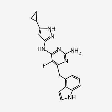 Nc1nc(Cc2cccc3[nH]ccc23)c(F)c(Nc2cc(C3CC3)[nH]n2)n1